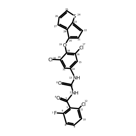 O=C(NC(=O)c1c(F)cccc1Cl)Nc1cc(Cl)c(Oc2ccc3scccc2-3)c(Cl)c1